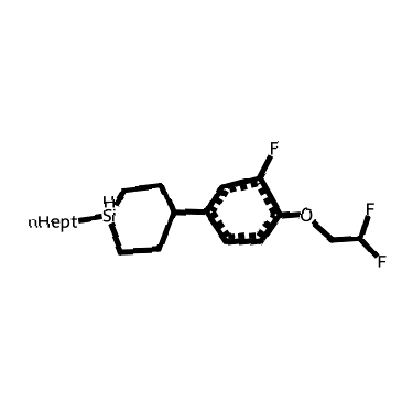 CCCCCCC[SiH]1CCC(c2ccc(OCC(F)F)c(F)c2)CC1